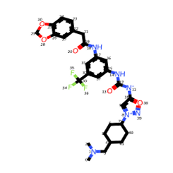 CN(C)CC1CCC([n+]2cc([N-]C(=O)Nc3cc(NC(=O)Cc4ccc5c(c4)OCO5)cc(C(F)(F)F)c3)on2)CC1